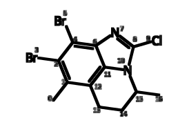 Cc1c(Br)c(Br)c2nc(Cl)n3c2c1CCC3C